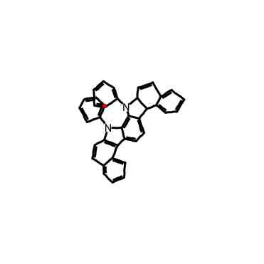 C1=CC2C(c3ccccc31)c1ccc3c4c5ccccc5ccc4n(-c4ccccc4)c3c1N2c1ccccc1